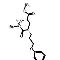 CC(C)(C)OC(=O)[C@@H](CCCOc1ccccc1)C[C@H](N)C(=O)OC(C)(C)C